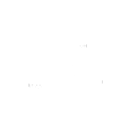 CCOC(=O)/C=C/c1cc(O)cc(F)c1